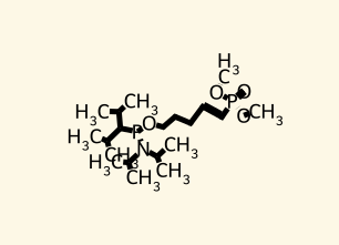 COP(=O)(/C=C/CCCOP(C(C(C)C)C(C)C)N(C(C)C)C(C)C)OC